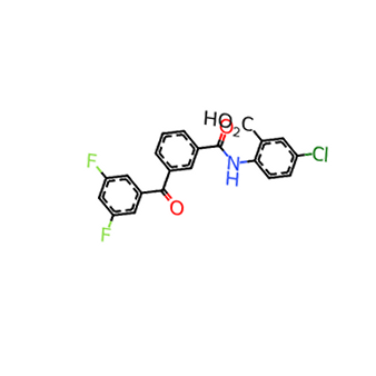 O=C(Nc1ccc(Cl)cc1C(=O)O)c1cccc(C(=O)c2cc(F)cc(F)c2)c1